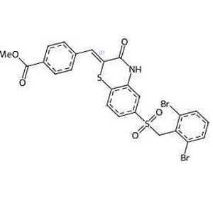 COC(=O)c1ccc(/C=C2\Sc3ccc(S(=O)(=O)Cc4c(Br)cccc4Br)cc3NC2=O)cc1